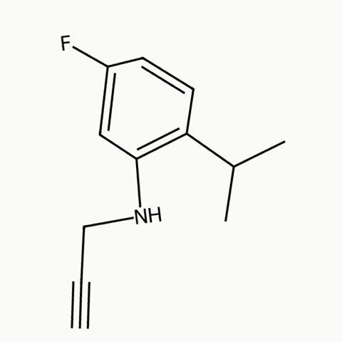 C#CCNc1cc(F)ccc1C(C)C